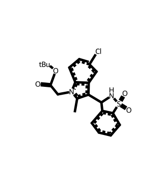 Cc1c(C2NS(=O)(=O)c3ccccc32)c2cc(Cl)ccc2n1CC(=O)OC(C)(C)C